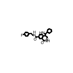 O=C(NCCc1ccc(F)cc1)c1cc2c3c(c(-c4ccccc4)[nH]c3c1)C=NNC2=O